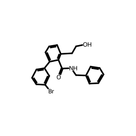 O=C(NCc1ccccc1)c1c(CCO)cccc1-c1cccc(Br)c1